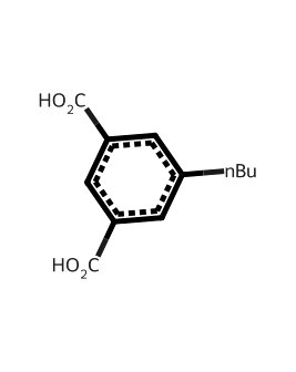 CCCCc1cc(C(=O)O)cc(C(=O)O)c1